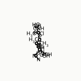 COc1cc(OCc2cccc(-c3cccc4c3c(C)nn4Cc3cc(OCc4cncc(C#N)c4)c(CNC(CO)C(=O)O)cc3Cl)c2C)c(Cl)cc1CNC(CO)C(=O)O